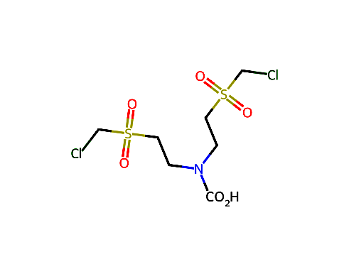 O=C(O)N(CCS(=O)(=O)CCl)CCS(=O)(=O)CCl